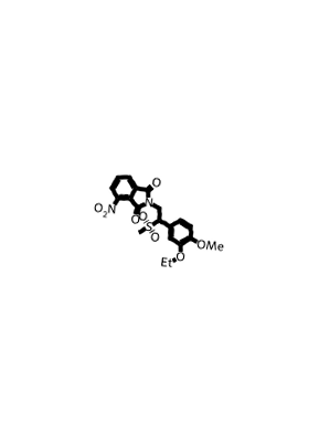 CCOc1cc(C(CN2C(=O)c3cccc([N+](=O)[O-])c3C2=O)S(C)(=O)=O)ccc1OC